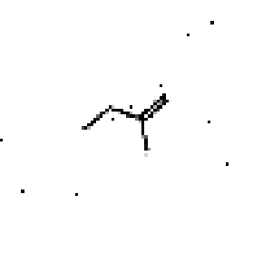 C=C(Cl)CC